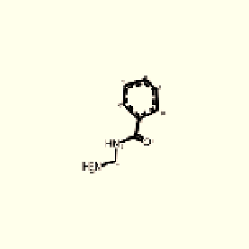 NCNC(=O)c1cc[c]cc1